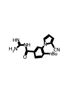 CCCCc1ccc(C(=O)NC(=N)N)cc1-n1cccc1C#N